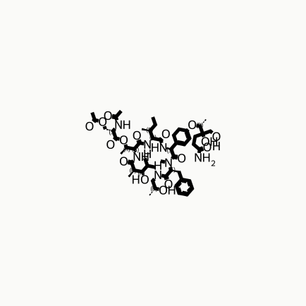 CC[C@H](C)[C@@H](NC(=O)[C@@H](NC(=O)[C@H](C)[C@H](O)C(C)C)[C@@H](C)OC(=O)[C@H](COC(C)=O)NC(C)=O)C(=O)N[C@H](C(=O)N(C)[C@@H](Cc1ccccc1)C(=O)NC[C@@H](C)O)C1=CC=C(O[C@H](C)C(O)(CO)CCC(N)=O)CC1